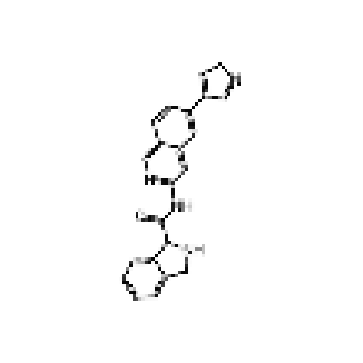 O=C(Nc1cc2cc(C3=CCN=C3)ccc2cn1)C1NCc2ccccc21